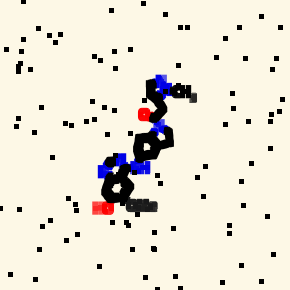 COc1cc2c(Nc3ccc4c(c3)CCN4C(=O)Cc3ccnn3C)ncnc2cc1O